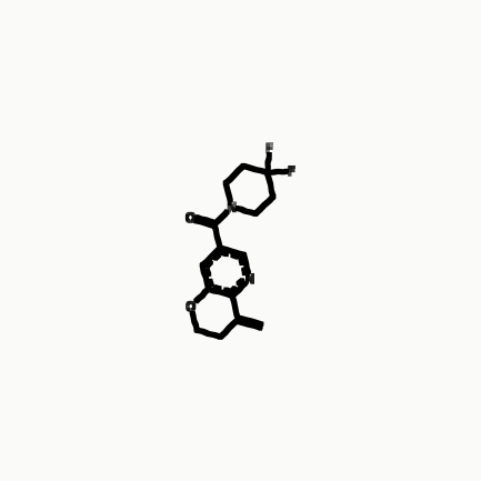 C=C1CCOc2cc(C(=O)N3CCC(F)(F)CC3)cnc21